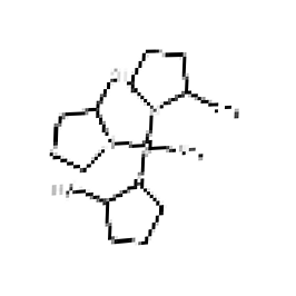 CC1CCCN1[Si](N)(N1CCCC1C)N1CCCC1C